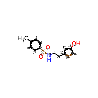 Cc1ccc(S(=O)(=O)NCCc2cc(O)cs2)cc1